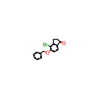 O=C1CCc2c1ccc(OCc1ccccc1)c2Br